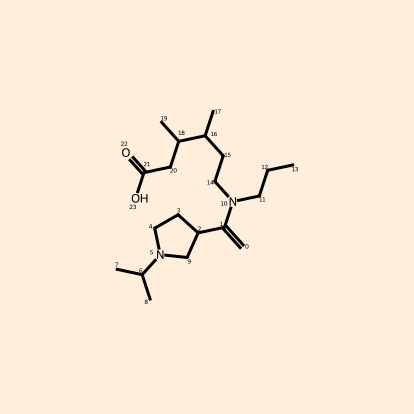 C=C(C1CCN(C(C)C)C1)N(CCC)CCC(C)C(C)CC(=O)O